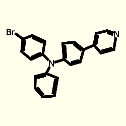 Brc1ccc(N(c2ccccc2)c2ccc(-c3ccncc3)cc2)cc1